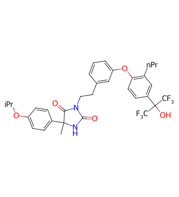 CCCc1cc(C(O)(C(F)(F)F)C(F)(F)F)ccc1Oc1cccc(CCN2C(=O)NC(C)(c3ccc(OC(C)C)cc3)C2=O)c1